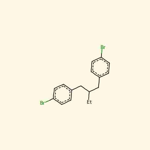 CCC(Cc1ccc(Br)cc1)Cc1ccc(Br)cc1